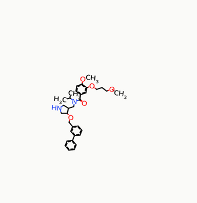 COCCCOc1cc(C(=O)N(CC2CNCC2OCc2cccc(-c3ccccc3)c2)C(C)C)ccc1OC